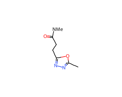 CNC(=O)CCc1nnc(C)o1